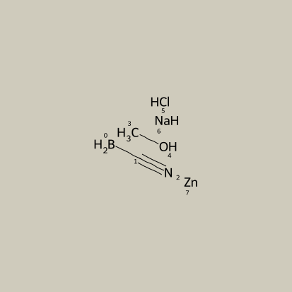 BC#N.CO.Cl.[NaH].[Zn]